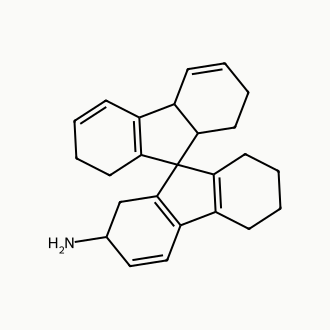 NC1C=CC2=C(C1)C1(C3=C2CCCC3)C2=C(C=CCC2)C2C=CCCC21